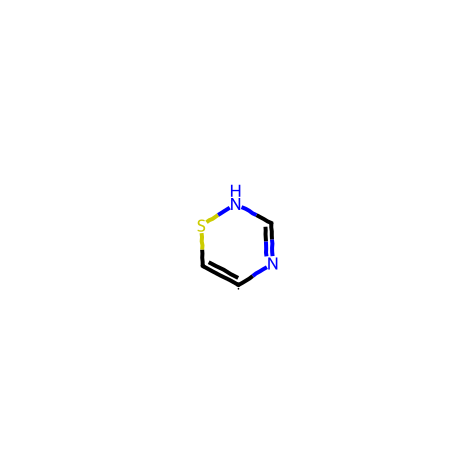 [C]1=CSNC=N1